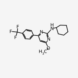 COc1cc(-c2ccc(C(F)(F)F)cc2)nc(NC2CCCCC2)n1